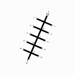 [O]C(I)(I)C(I)(I)C(I)(I)C(I)(I)C(I)(I)I